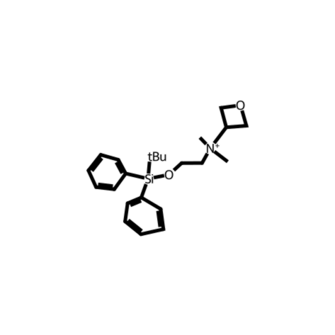 CC(C)(C)[Si](OCC[N+](C)(C)C1COC1)(c1ccccc1)c1ccccc1